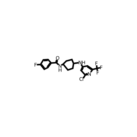 O=C(NC1CCC(Nc2cc(Cl)nc(C(F)(F)F)c2)CC1)c1ccc(F)cc1